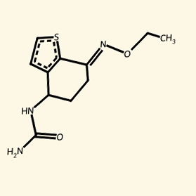 CCON=C1CCC(NC(N)=O)c2ccsc21